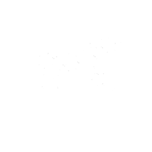 CC(C)c1cc(N2CCCN(C(CC(=O)N3CCC(C)(O)CC3)c3csc(N4CCC(O)CC4)n3)CC2)c2ncccc2c1